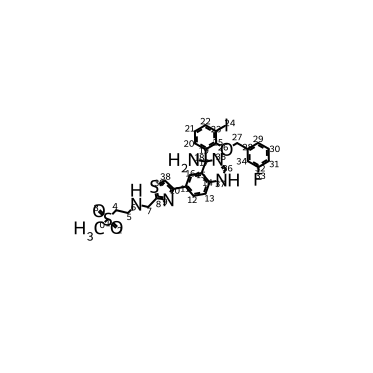 CS(=O)(=O)CCNCc1nc(-c2ccc3c(c2)C(N)(c2cccc(I)c2OCc2cccc(F)c2)N=CN3)cs1